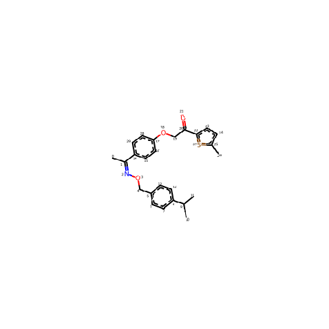 CC(=NOCc1ccc(C(C)C)cc1)c1ccc(OCC(=O)c2ccc(C)s2)cc1